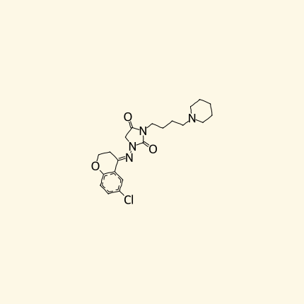 O=C1CN(/N=C2\CCOc3ccc(Cl)cc32)C(=O)N1CCCCN1CCCCC1